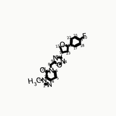 Cn1cnc2ccn(Cc3nc([C@@H]4CO[C@@H](c5ccc(F)cc5)C4)no3)c(=O)c21